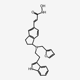 O=C(/C=C/c1ccc2c(c1)CCC2N(CCc1c[nH]c2ccccc12)Cc1ccco1)NO